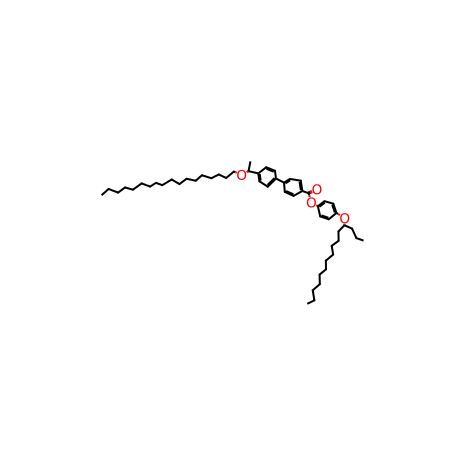 CCCCCCCCCCCCCCCCCCOC(C)c1ccc(-c2ccc(C(=O)Oc3ccc(OC(CCC)CCCCCCCCCCC)cc3)cc2)cc1